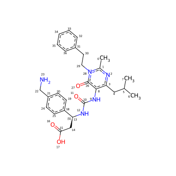 Cc1nc(CC(C)C)c(NC(=O)N[C@@H](CC(=O)O)c2ccc(CN)cc2)c(=O)n1CCc1ccccc1